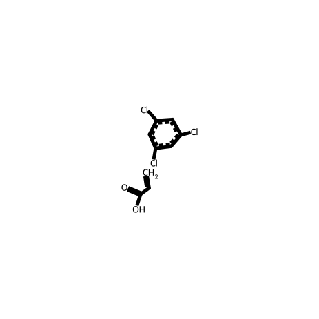 C=CC(=O)O.Clc1cc(Cl)cc(Cl)c1